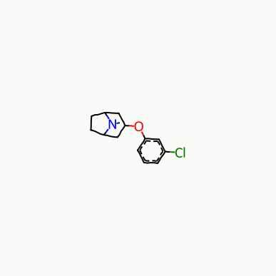 CN1C2CCC1CC(Oc1cccc(Cl)c1)C2